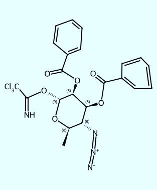 C[C@H]1O[C@H](OC(=N)C(Cl)(Cl)Cl)[C@@H](OC(=O)c2ccccc2)[C@@H](OC(=O)c2ccccc2)[C@@H]1N=[N+]=[N-]